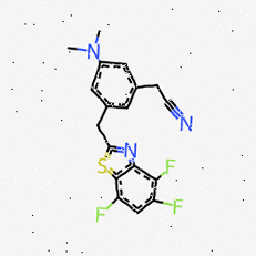 CN(C)c1cc(CC#N)cc(Cc2nc3c(F)c(F)cc(F)c3s2)c1